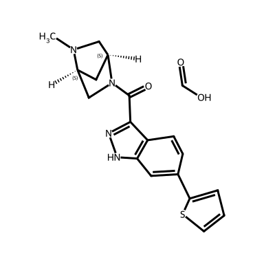 CN1C[C@@H]2C[C@H]1CN2C(=O)c1n[nH]c2cc(-c3cccs3)ccc12.O=CO